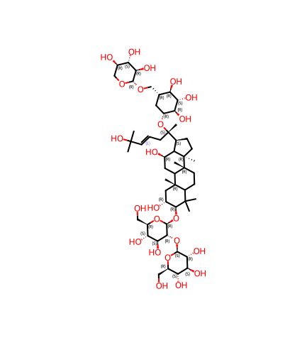 CC(C)(O)/C=C/C[C@](C)(O[C@@H]1C[C@H](CO[C@@H]2OC[C@@H](O)[C@H](O)[C@H]2O)[C@@H](O)[C@H](O)[C@H]1O)[C@H]1CC[C@]2(C)C1[C@H](O)CC1[C@@]3(C)C[C@@H](O)[C@H](O[C@@H]4O[C@H](CO)[C@@H](O)[C@H](O)[C@H]4O[C@@H]4O[C@H](CO)[C@@H](O)[C@H](O)[C@H]4O)C(C)(C)C3CC[C@]12C